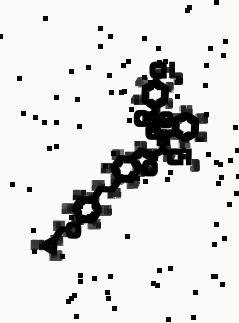 Cc1ccc(S(=O)(=O)ON(c2ccccc2)C(C)c2cc3ccc(CCc4ccc(OCC5CC5)cc4)cc3o2)cc1